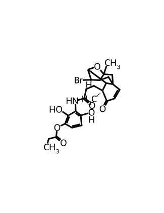 CCC(=O)Oc1ccc(O)c(NC(=O)CC[C@]2(C)C(=O)C=CC34CC5[C@H](Br)C(OC5(C)C3)C42)c1O